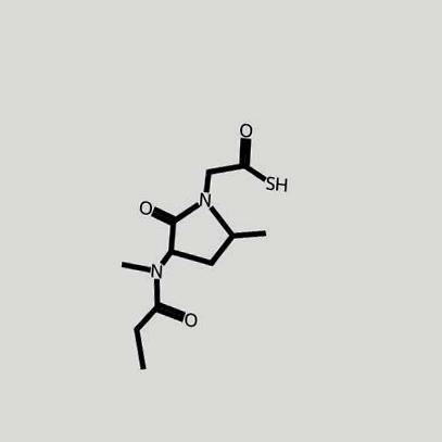 CCC(=O)N(C)C1CC(C)N(CC(=O)S)C1=O